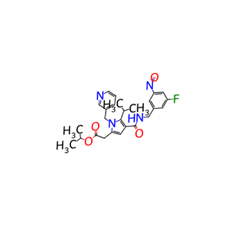 CC(C)OC(=O)Cc1cc(C(=O)NCc2cc(F)cc(N=O)c2)c(C(C)C)n1Cc1cccnc1